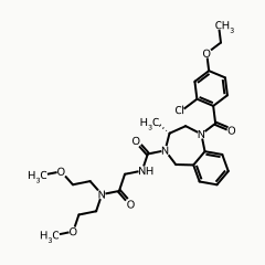 CCOc1ccc(C(=O)N2C[C@@H](C)N(C(=O)NCC(=O)N(CCOC)CCOC)Cc3ccccc32)c(Cl)c1